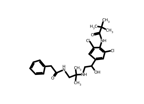 CC(C)(CNC(=O)Cc1ccccc1)NCC(O)c1cc(Cl)c(NC(=O)C(C)(C)C)c(Cl)c1